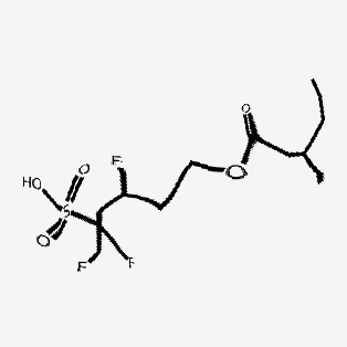 CCC(C)C(=O)OCCC(F)C(F)(F)S(=O)(=O)O